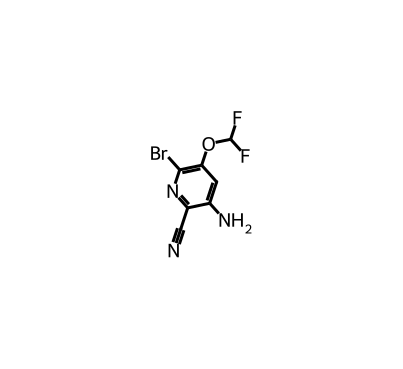 N#Cc1nc(Br)c(OC(F)F)cc1N